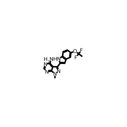 Cn1nc(-c2cc3cc(OC(C)(F)F)ccc3[nH]2)c2c(N)ncnc21